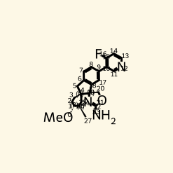 CO[C@@H]1CC[C@]2(Cc3ccc(-c4cnccc4F)cc3[C@@]23COC(N)=N3)C[C@H]1C